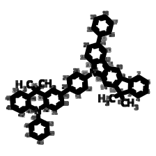 CC1(C)c2ccccc2-c2cc3c4cc(-c5ccccc5)ccc4n(-c4ccc(-c5ccc6c(c5)C(C)(C)c5ccccc5N6c5ccccc5)cc4)c3cc21